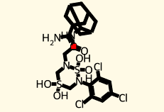 NC(=O)C12CC3CC(C1)C(NC(=O)CN1CS(O)(O)CN(c4c(Cl)cc(Cl)cc4Cl)S1(O)O)C(C3)C2